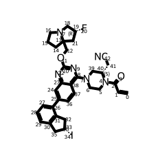 C=CC(=O)N1CCN(c2nc(OCC34CCCN3C[C@H](F)C4)nc3cc(-c4cccc5c4C[C@H](I)C5)ccc23)C[C@@H]1CC#N